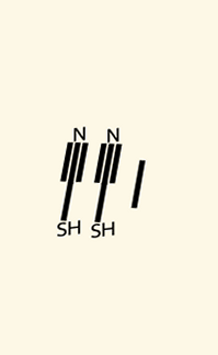 CC.N#CS.N#CS